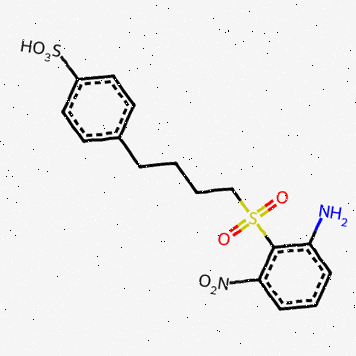 Nc1cccc([N+](=O)[O-])c1S(=O)(=O)CCCCc1ccc(S(=O)(=O)O)cc1